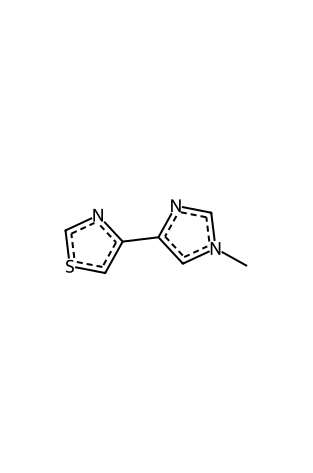 Cn1cnc(-c2cscn2)c1